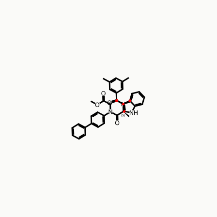 COC(=O)[C@H](Cc1c[nH]c2ccccc12)N(C(=O)[C@H](C)N(C)C(=O)c1cc(C)cc(C)c1)c1ccc(-c2ccccc2)cc1